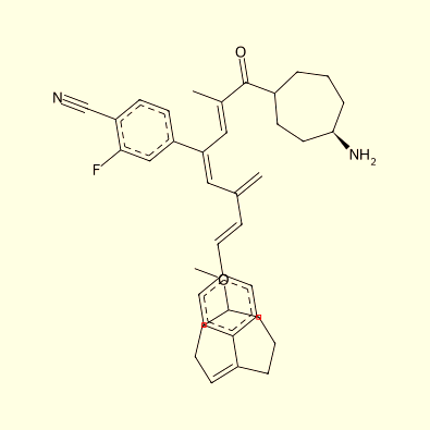 C=C(/C=C/c1ccc(/C2=C\CCC(OC)CCC2)cc1)/C=C(\C=C(/C)C(=O)C1CCC[C@@H](N)CC1)c1ccc(C#N)c(F)c1